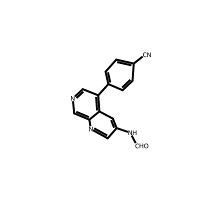 N#Cc1ccc(-c2cncc3ncc(NC=O)cc23)cc1